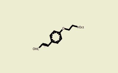 CCCCCCCCCCOc1ccc(/C=C/C=O)cc1